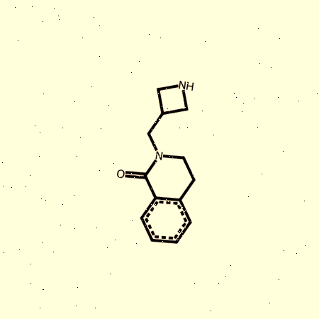 O=C1c2ccccc2CCN1CC1CNC1